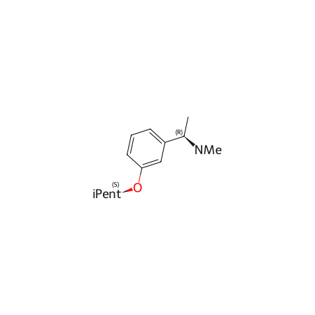 CCC[C@H](C)Oc1cccc([C@@H](C)NC)c1